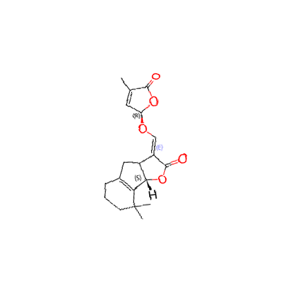 CC1=C[C@H](O/C=C2/C(=O)O[C@@H]3C4=C(CCCC4(C)C)CC23)OC1=O